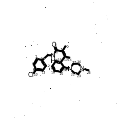 CC(C(=O)NCc1ccc(Cl)cc1)=C(C)c1ccccc1N1CCN(C)CC1